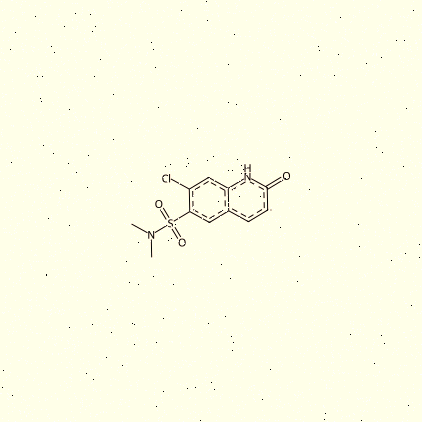 CN(C)S(=O)(=O)c1cc2c[c]c(=O)[nH]c2cc1Cl